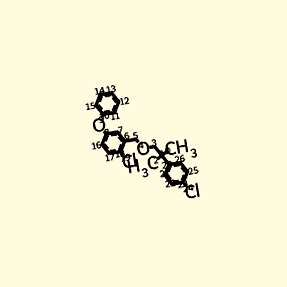 CC(C)(COCc1cc(Oc2ccccc2)ccc1Cl)c1ccc(Cl)cc1